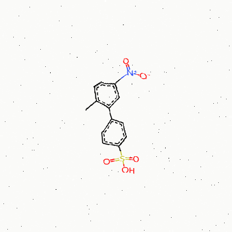 Cc1ccc([N+](=O)[O-])cc1-c1ccc(S(=O)(=O)O)cc1